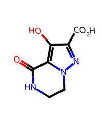 O=C(O)c1nn2c(c1O)C(=O)NCC2